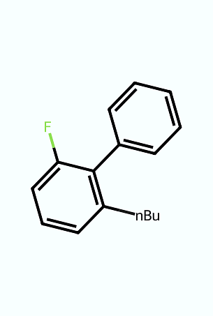 CCCCc1cccc(F)c1-c1ccccc1